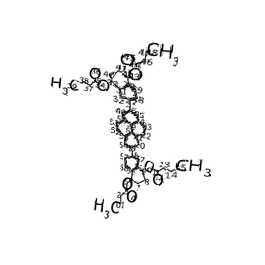 CCCC(=O)OC1CCC(OC(=O)CCC)c2cc(-c3cc4ccc5cc(-c6ccc7c(c6)C(OC(=O)CCC)CCC7OC(=O)CCC)cc6ccc(c3)c4c56)ccc21